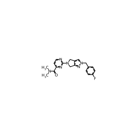 CN(C)C(=O)c1ccnc(N2Cc3cn(Cc4ccc(F)cc4)nc3C2)n1